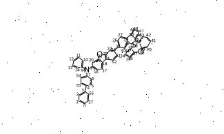 c1ccc(-c2ccc(N(c3ccccc3)c3ccc4c(c3)oc3cc(-c5ccc6c(c5)[Si]5(c7ccccc7Oc7ccccc75)c5ccccc5-6)ccc34)cc2)cc1